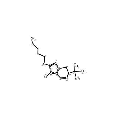 COCCCOc1nn2c(c1Cl)C=N[C@H](C(C)(C)C)C2